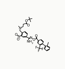 Cc1ccccc1-c1ccc(C(=O)O/N=C(\N)c2ccc(CN(C)CCC(=O)OC(C)(C)C)c([N+](=O)[O-])c2)cc1C(F)(F)F